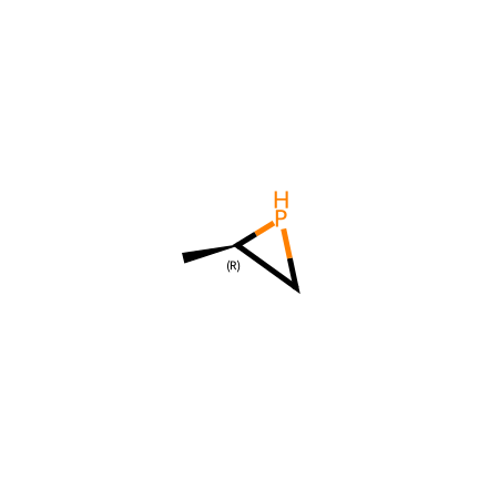 C[C@@H]1CP1